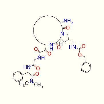 CN(C)C(=O)[C@@H](NC(=O)CNC(=O)C(=O)[C@@H]1CCCCCCCCCC[C@H](N)C(=O)N2C[C@H](CNC(=O)OCc3ccccc3)C[C@H]2C(=O)N1)c1ccccc1